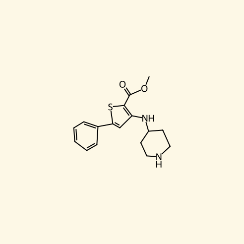 COC(=O)c1sc(-c2ccccc2)cc1NC1CCNCC1